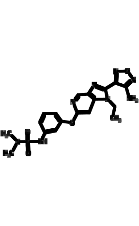 CCn1c(-c2nonc2N)nc2cnc(Oc3cccc(NS(=O)(=O)N(C)C)c3)cc21